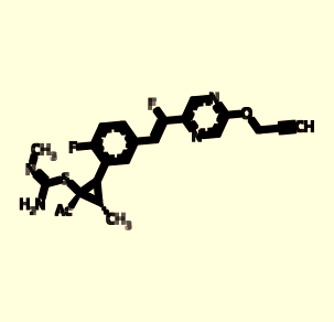 C#CCOc1cnc(/C(F)=C/c2ccc(F)c(C3[C@H](C)[C@@]3(S/C(N)=N\C)C(C)=O)c2)cn1